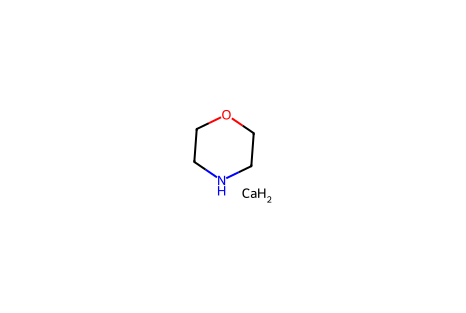 C1COCCN1.[CaH2]